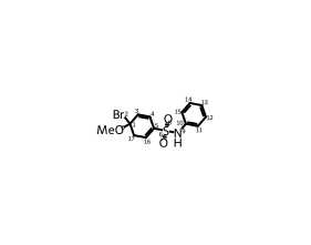 COC1(Br)C=CC(S(=O)(=O)Nc2ccccc2)=CC1